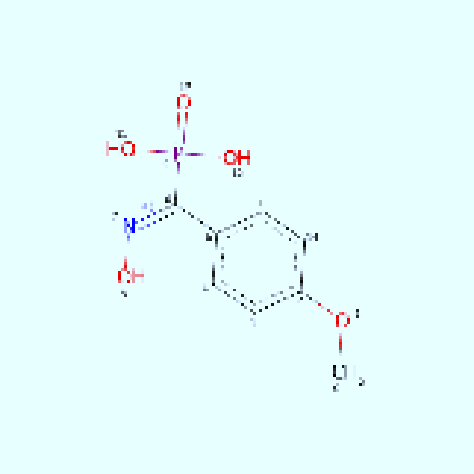 COc1ccc(/C(=N\O)P(=O)(O)O)cc1